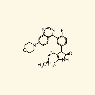 C=C/C=N\C1=C(C)NC(=O)C1c1ccc(F)c(-c2ncnc3cc(N4CCOCC4)ccc23)c1